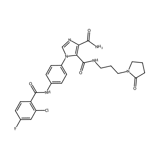 NC(=O)c1ncn(-c2ccc(NC(=O)c3ccc(F)cc3Cl)cc2)c1C(=O)NCCCN1CCCC1=O